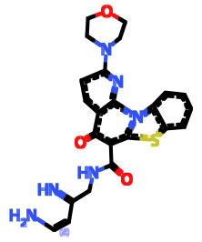 N=C(/C=C\N)CNC(=O)c1c(=O)c2ccc(N3CCOCC3)nc2n2c1sc1ccccc12